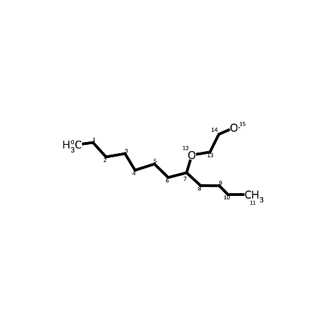 CCCCCCCC(CCCC)OCC[O]